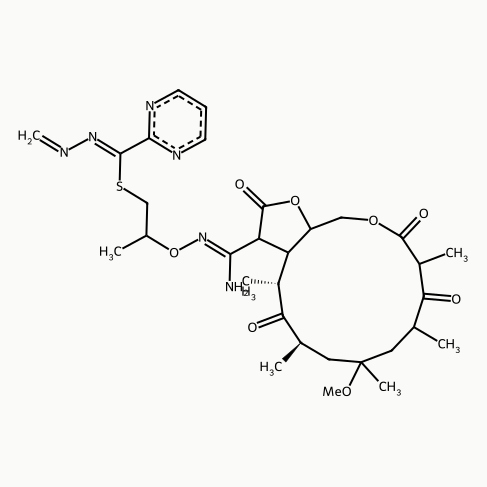 C=N/N=C(\SCC(C)O/N=C(\N)C1C(=O)OC2COC(=O)C(C)C(=O)C(C)CC(C)(OC)C[C@@H](C)C(=O)[C@H](C)C21)c1ncccn1